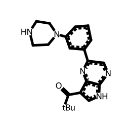 CC(C)(C)C(=O)c1c[nH]c2ncc(-c3cccc(N4CCNCC4)c3)nc12